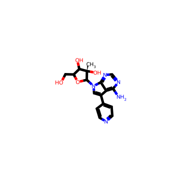 C[C@@]1(O)C(O)C(CO)OC1n1cc(-c2ccncc2)c2c(N)ncnc21